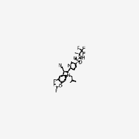 CC(C)Cn1c(-c2ccc(S(=O)(=O)N[C@@H](C)C(F)(F)F)cn2)c(C#N)c2cc(F)c(OC(F)F)cc21